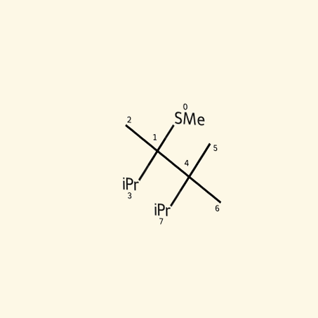 CSC(C)(C(C)C)C(C)(C)C(C)C